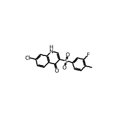 Cc1ccc(S(=O)(=O)c2c[nH]c3cc(Cl)ccc3c2=O)cc1F